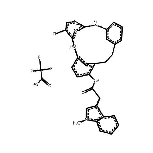 Cn1cc(CC(=O)Nc2ccc3cc2CCc2cccc(c2)Nc2ncc(Cl)c(n2)N3)c2ccccc21.O=C(O)C(F)(F)F